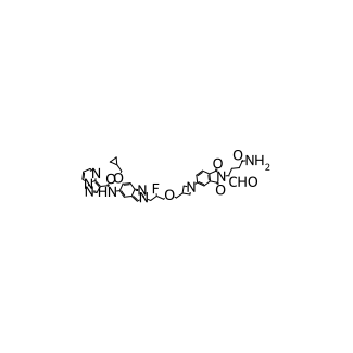 NC(=O)CCC(C=O)N1C(=O)c2ccc(N3CC(COC[C@H](F)Cn4cc5cc(NC(=O)c6cnn7cccnc67)c(OCC6CC6)cc5n4)C3)cc2C1=O